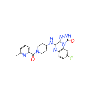 Cc1cccc(C(=O)N2CCC(Nc3nc4ccc(F)cc4n4c(=O)[nH]nc34)CC2)n1